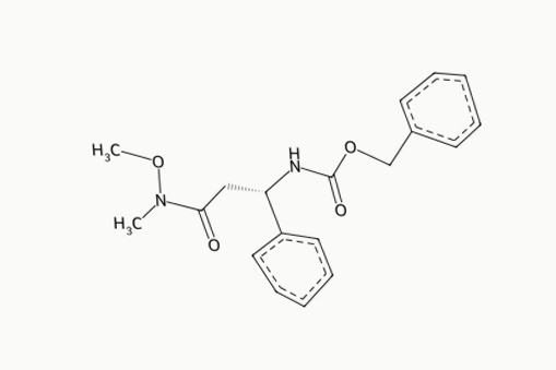 CON(C)C(=O)C[C@H](NC(=O)OCc1ccccc1)c1ccccc1